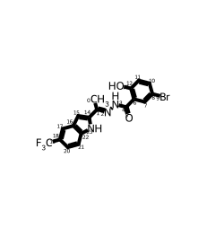 C/C(=N\NC(=O)c1cc(Br)ccc1O)c1cc2cc(C(F)(F)F)ccc2[nH]1